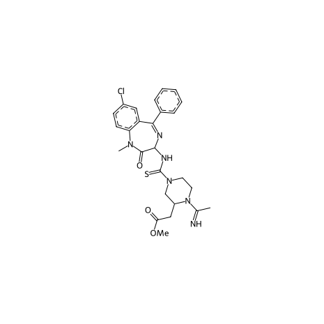 COC(=O)CC1CN(C(=S)NC2N=C(c3ccccc3)c3cc(Cl)ccc3N(C)C2=O)CCN1C(C)=N